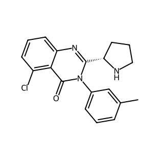 Cc1cccc(-n2c([C@@H]3CCCN3)nc3cccc(Cl)c3c2=O)c1